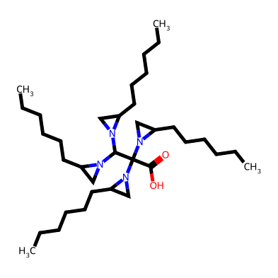 CCCCCCC1CN1C(N1CC1CCCCCC)C(C(=O)O)(N1CC1CCCCCC)N1CC1CCCCCC